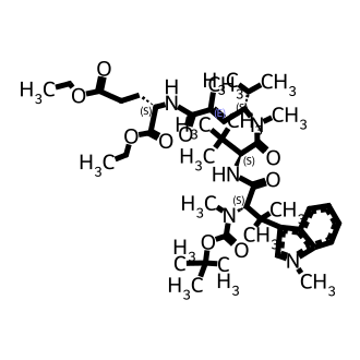 CCOC(=O)CC[C@H](NC(=O)/C(C)=C/[C@H](C(C)C)N(C)C(=O)[C@@H](NC(=O)[C@@H](N(C)C(=O)OC(C)(C)C)C(C)(C)c1cn(C)c2ccccc12)C(C)(C)C)C(=O)OCC